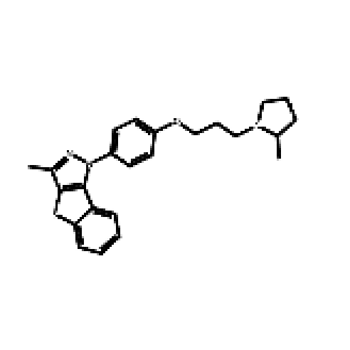 Cc1nn(-c2ccc(OCCCN3CCCC3C)cc2)c2c1sc1ccccc12